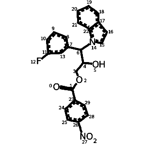 O=C(OCC(O)C(c1cccc(F)c1)n1ccc2ccccc21)c1ccc([N+](=O)[O-])cc1